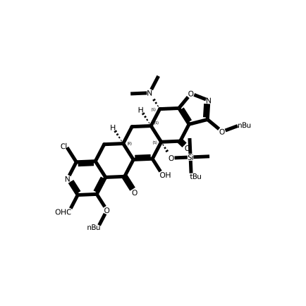 CCCCOc1noc2c1C(=O)[C@@]1(O[Si](C)(C)C(C)(C)C)C(O)=C3C(=O)c4c(c(Cl)nc(C=O)c4OCCCC)C[C@H]3C[C@H]1[C@@H]2N(C)C